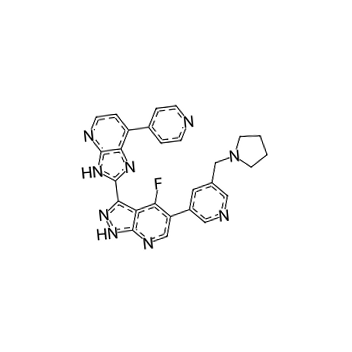 Fc1c(-c2cncc(CN3CCCC3)c2)cnc2[nH]nc(-c3nc4c(-c5ccncc5)ccnc4[nH]3)c12